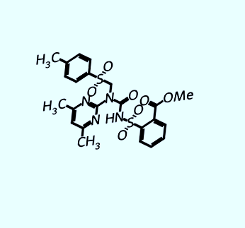 COC(=O)c1ccccc1S(=O)(=O)NC(=O)N(CS(=O)(=O)c1ccc(C)cc1)c1nc(C)cc(C)n1